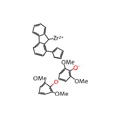 COc1cccc(OC)c1[O-].COc1cccc(OC)c1[O-].[Zr+2][CH]1c2ccccc2-c2cccc(C3=CC=CC3)c21